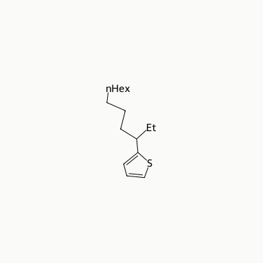 CCCCCCCCCC(CC)c1cccs1